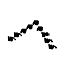 [Al].[Al].[Al].[Al].[Ti+4].[W-].[W-].[W-].[W-]